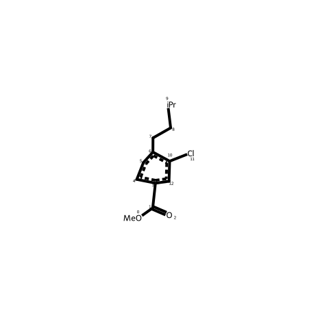 COC(=O)c1ccc(CCC(C)C)c(Cl)c1